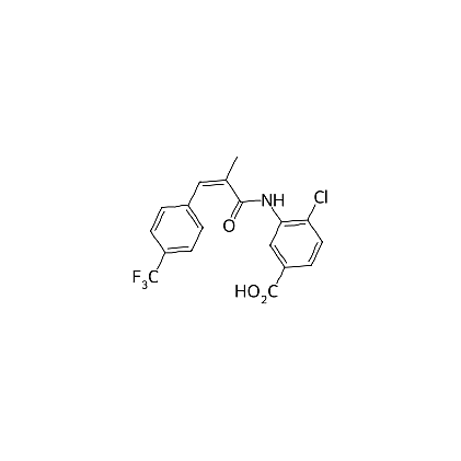 CC(=Cc1ccc(C(F)(F)F)cc1)C(=O)Nc1cc(C(=O)O)ccc1Cl